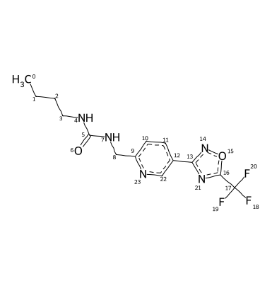 CCCCNC(=O)NCc1ccc(-c2noc(C(F)(F)F)n2)cn1